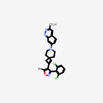 CC(C)c1onc(-c2c(Cl)cccc2Cl)c1C1=CC2(CCN(c3ccc4cc(C(=O)O)nnc4c3)CC2)C1